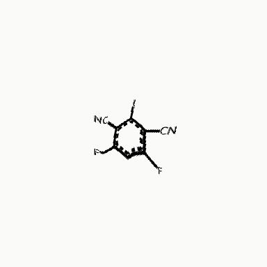 N#Cc1c(F)cc(F)c(C#N)c1I